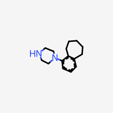 c1cc2c(c(N3CCNCC3)c1)CCCCC2